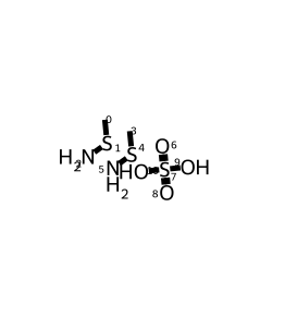 CSN.CSN.O=S(=O)(O)O